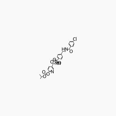 CC(C)OC(=O)Oc1ccc(C(=O)NS(=O)(=O)c2ccc(CCNC(=O)c3ccc(Cl)cc3)cc2)cn1